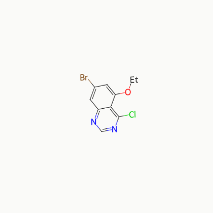 CCOc1cc(Br)cc2ncnc(Cl)c12